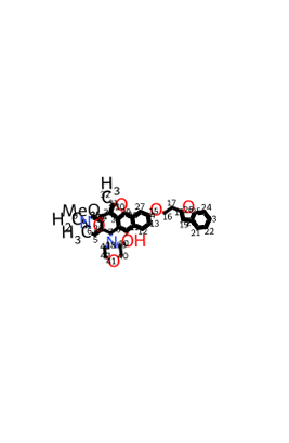 C=N/C=C\C(=C/C)C(c1c(O)c2ccc(OCCc3cc4ccccc4o3)cc2c2oc(C)c(C(=O)OC)c12)N1CCOCC1